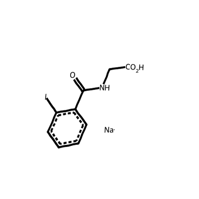 O=C(O)CNC(=O)c1ccccc1I.[Na]